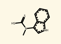 CN(C(=S)S)c1c[nH]c2ccccc12